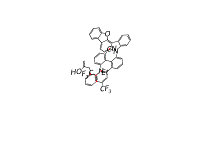 C=C(O)Cc1ccccc1N(CC)c1cccc(C#N)c1-c1c(-c2cc(C(F)(F)F)cc(C(F)(F)F)c2)cccc1-n1c2ccccc2c2c3oc4ccccc4c3ccc21